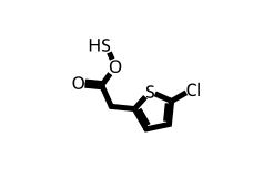 O=C(Cc1ccc(Cl)s1)OS